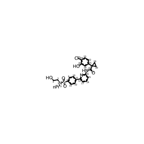 CCCN(CCO)S(=O)(=O)c1ccc(-c2cccc(NC(=O)C3(c4ccc(Cl)c(O)c4)CC3)n2)cc1